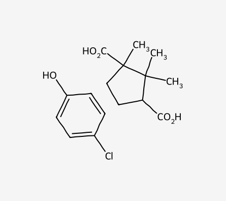 CC1(C(=O)O)CCC(C(=O)O)C1(C)C.Oc1ccc(Cl)cc1